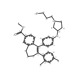 COC(=O)c1ccc2c(c1)CCCC(c1ccc(C)cc1C)=C2c1ccc(OC2CCN(CCCF)C2)cc1